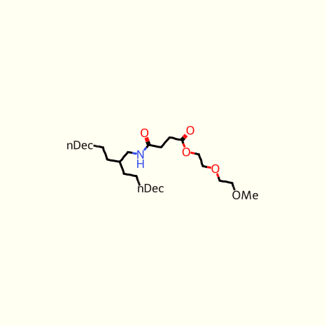 CCCCCCCCCCCCC(CCCCCCCCCCCC)CNC(=O)CCC(=O)OCCOCCOC